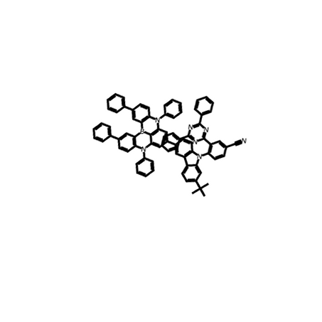 CC(C)(C)c1ccc2c3cc(-c4cc5c6c(c4)N(c4ccccc4)c4ccc(-c7ccccc7)cc4B6c4cc(-c6ccccc6)ccc4N5c4ccccc4)ccc3n(-c3ccc(C#N)cc3-c3nc(-c4ccccc4)nc(-c4ccccc4)n3)c2c1